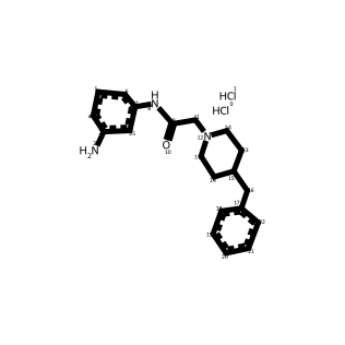 Cl.Cl.Nc1cccc(NC(=O)CN2CCC(Cc3ccccc3)CC2)c1